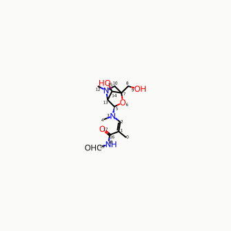 C/C(=C/N(C)[C@@H]1OC2(CO)CN(C)C1C2O)C(=O)NC=O